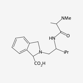 CNC(C)C(=O)NC(CN1Cc2ccccc2C1C(=O)O)C(C)C